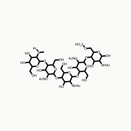 CC(=O)NC1C(O)OC(COS(=O)(=O)O)C(OC2OC(CO)C(OC3OC(CO)C(OC4OC(CO)C(OC5OC(CO)C(O)C(O)C5N(C)C(C)=O)C(O)C4NC(C)=O)C(O)C3NC(C)=O)C(O)C2NC(C)=O)C1O